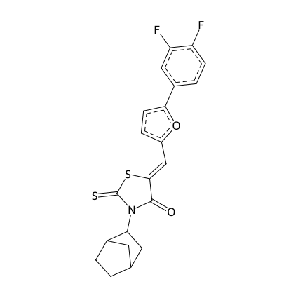 O=C1/C(=C/c2ccc(-c3ccc(F)c(F)c3)o2)SC(=S)N1C1CC2CCC1C2